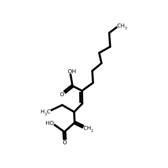 C=C(C(=O)O)C(C=C(CCCCCCC)C(=O)O)CC